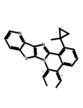 C/C=c1\c(=C/C)n2c(nc3c4ncccc4sc32)c2c(C3(C)CC3)cccc12